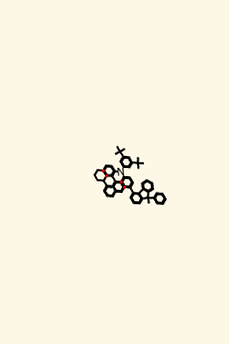 CC(C)(C)c1cc(N(c2ccc(-c3cccc4c3-c3ccccc3C4(C)c3ccccc3)cc2)c2ccccc2-c2cccc3cccc(C4CCCCC4)c23)cc(C(C)(C)C)c1